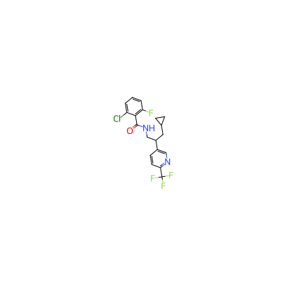 O=C(NCC(CC1CC1)c1ccc(C(F)(F)F)nc1)c1c(F)cccc1Cl